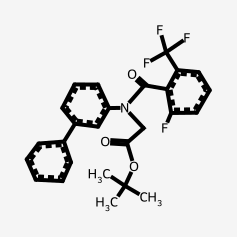 CC(C)(C)OC(=O)CN(C(=O)c1c(F)cccc1C(F)(F)F)c1cccc(-c2ccccc2)c1